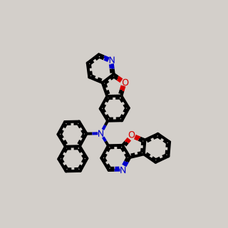 c1ccc2c(N(c3ccc4oc5ncccc5c4c3)c3ccnc4c3oc3ccccc34)cccc2c1